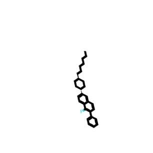 CCCCCCC[C@H]1CC[C@H](c2ccc3c(F)c(-c4ccccc4)ccc3c2)CC1